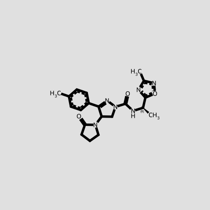 Cc1ccc(C2=NN(C(=O)N[C@H](C)c3nc(C)no3)CC2N2CCCC2=O)cc1